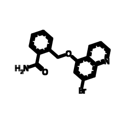 NC(=O)c1ccccc1COc1cc(Br)cc2ncccc12